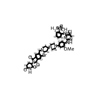 COc1cc(N2CCN(C3CCN(Cc4cc5c(cc4Br)C(=O)N(C4CCC(=O)NC4=O)C5=O)CC3)CC2)ccc1Nc1ncc(Cl)c(Nc2ccccc2P(C)(C)=O)n1